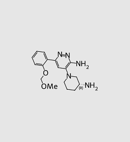 COCOc1ccccc1-c1cc(N2CCC[C@@H](N)C2)c(N)nn1